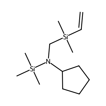 C=C[Si](C)(C)CN(C1CCCC1)[Si](C)(C)C